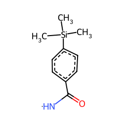 C[Si](C)(C)c1ccc(C([NH])=O)cc1